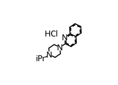 CC(C)N1CCN(c2ccc3ccccc3n2)CC1.Cl